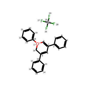 C1=C(c2ccccc2)C=C(c2ccccc2)C[O+]1c1ccccc1.F[B-](F)(F)F